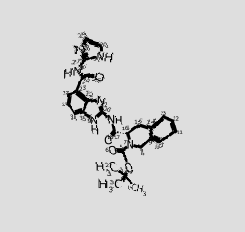 CC(C)(C)OC(=O)N1Cc2ccccc2C[C@H]1C(=O)Nc1nc2c(C(=O)Nc3ncc[nH]3)cccc2[nH]1